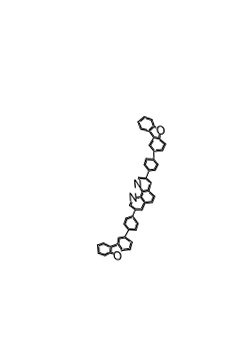 c1ccc2c(c1)oc1ccc(-c3ccc(-c4cnc5c(ccc6cc(-c7ccc(-c8ccc9oc%10ccccc%10c9c8)cc7)cnc65)c4)cc3)cc12